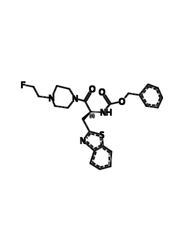 O=C(N[C@@H](Cc1nc2ccccc2s1)C(=O)N1CCN(CCF)CC1)OCc1ccccc1